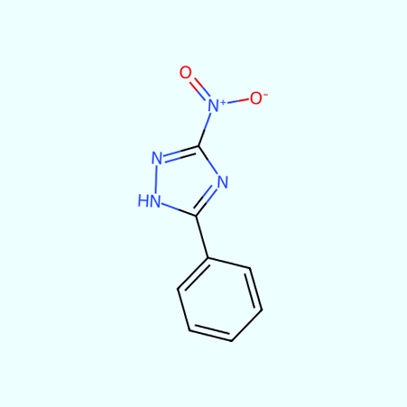 O=[N+]([O-])c1n[nH]c(-c2ccccc2)n1